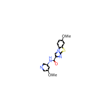 COc1cncc(NC(=O)c2cn3c(n2)sc2cc(OC)ccc23)c1